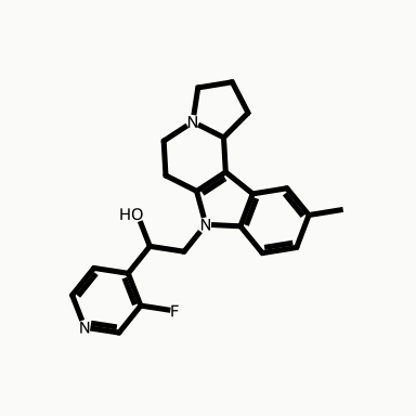 Cc1ccc2c(c1)c1c(n2CC(O)c2ccncc2F)CCN2CCCC12